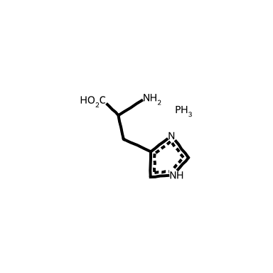 NC(Cc1c[nH]cn1)C(=O)O.P